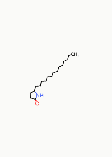 CCCCCCCCCCCCCCC1CCC(=O)N1